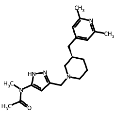 CC(=O)N(C)c1cc(CN2CCC[C@H](Cc3cc(C)nc(C)c3)C2)n[nH]1